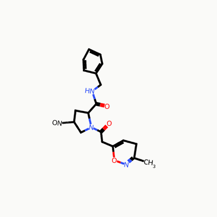 CC1=NOC(CC(=O)N2CC(N=O)CC2C(=O)NCc2ccccc2)=CC1